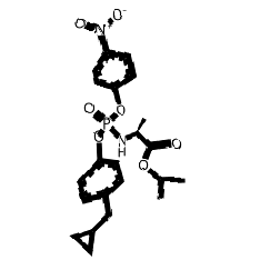 CC(C)OC(=O)[C@H](C)NP(=O)(Oc1ccc(CC2CC2)cc1)Oc1ccc([N+](=O)[O-])cc1